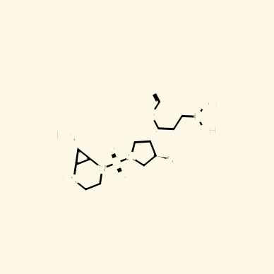 C[C@H]1C2NCCN(S(=O)(=O)N3C[C@H](C(CCB(O)O)OC=O)[C@@H](N)C3)C21